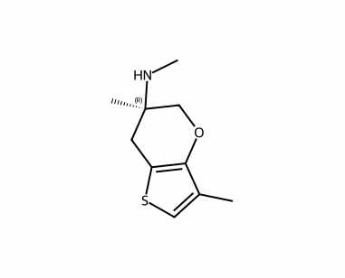 CN[C@@]1(C)COc2c(C)csc2C1